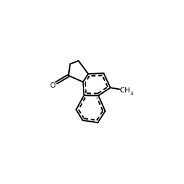 Cc1cc2c(c3ccccc13)C(=O)CC2